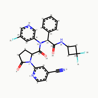 N#Cc1ccnc(N2C(=O)CCC2C(=O)N(c2cncc(F)c2)[C@H](C(=O)NC2CC(F)(F)C2)c2ccccc2)c1